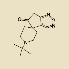 CC(C)(C)N1CCC2(CC1)C(=O)Cc1ncncc12